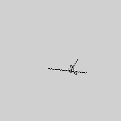 CCCCCCCCCCCCCCCCCC(=O)OC(COC(=O)CCCCCCCCC)COC(=O)CCCCCCCCC